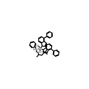 CC(C)CC1=Cc2c(-c3ccccc3)cccc2[CH]1[Zr]([Cl])([Cl])([CH]1C(CC(C)C)=Cc2c(-c3ccccc3)cccc21)[SiH](C)c1ccccc1